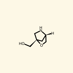 OC[C@]12CN[C@H](CO1)C2